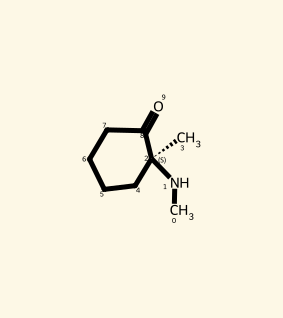 CN[C@@]1(C)CCCCC1=O